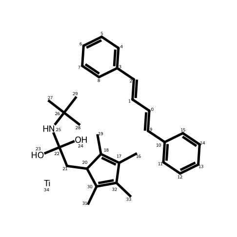 C(C=Cc1ccccc1)=Cc1ccccc1.CC1=C(C)C(CC(O)(O)NC(C)(C)C)C(C)=C1C.[Ti]